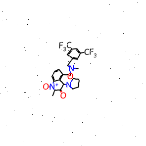 CC1C(=O)C(N2CCCC2)c2c(C(=O)N(C)Cc3cc(C(F)(F)F)cc(C(F)(F)F)c3)cccc2[N+]1=O